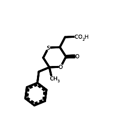 CC1(Cc2ccccc2)CSC(CC(=O)O)C(=O)O1